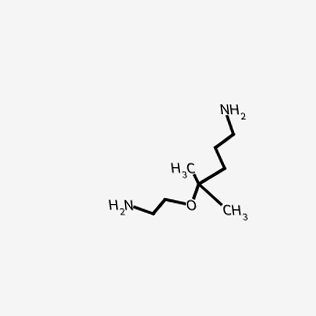 CC(C)(CCCN)OCCN